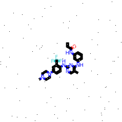 C=CC(=O)Nc1cccc(Nc2nc(Nc3ccc(N4CCN(C)CC4)cc3C(F)(F)F)ncc2C)c1